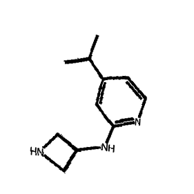 CC(C)c1ccnc(NC2CNC2)c1